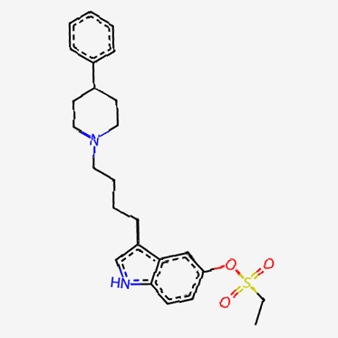 CCS(=O)(=O)Oc1ccc2[nH]cc(CCCCN3CCC(c4ccccc4)CC3)c2c1